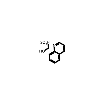 O=S(=O)(O)CO.c1ccc2ncccc2c1